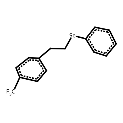 FC(F)(F)c1ccc([CH]C[Se]c2ccccc2)cc1